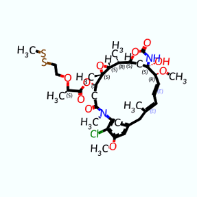 COc1cc2cc(c1Cl)N(C)C(=O)C[C@H](OC(=O)[C@H](C)OCCSSC)[C@]1(C)O[C@H]1[C@H](C)[C@@H]1C[C@@](O)(NC(=O)O1)[C@H](OC)/C=C/C=C(\C)C2